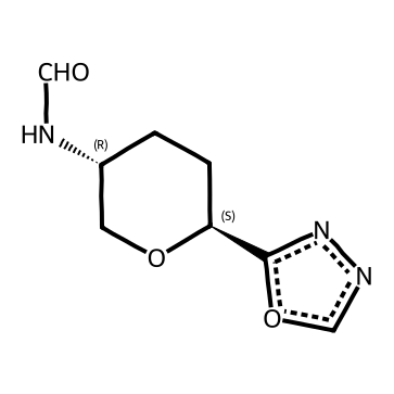 O=CN[C@@H]1CC[C@@H](c2nnco2)OC1